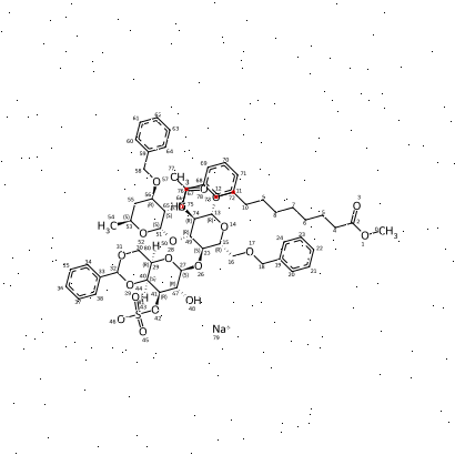 COC(=O)CCCCCCCCO[C@@H]1O[C@H](COCc2ccccc2)[C@@H](O[C@@H]2O[C@@H]3COC(c4ccccc4)O[C@@H]3[C@H](OS(=O)(=O)[O-])[C@H]2O)[C@H](O[C@@H]2O[C@@H](C)C[C@@H](OCc3ccccc3)[C@@H]2OCc2ccccc2)[C@H]1NC(C)=O.[Na+]